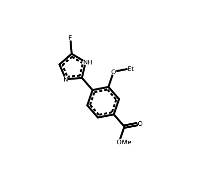 CCOc1cc(C(=O)OC)ccc1-c1ncc(F)[nH]1